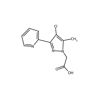 Cc1c(Cl)c(-c2ccccn2)nn1CC(=O)O